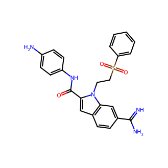 N=C(N)c1ccc2cc(C(=O)Nc3ccc(N)cc3)n(CCS(=O)(=O)c3ccccc3)c2c1